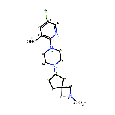 CCOC(=O)N1CC2(CC[C@@H](N3CCN(c4ncc(F)cc4C=O)CC3)C2)C1